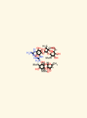 CN[C@@H]1[C@H](O)[C@H](NC)[C@H]2O[C@@]3(O)C(=O)C[C@@H](C)O[C@H]3O[C@@H]2[C@H]1O.CN[C@@H]1[C@H](O[C@H]2[C@H](O[C@H]3[C@H](O)[C@@H](O)[C@H](NC(=N)N)[C@@H](O)[C@@H]3NC(=N)N)O[C@@H](C)[C@]2(O)C=O)O[C@@H](CO)[C@H](O)[C@H]1O